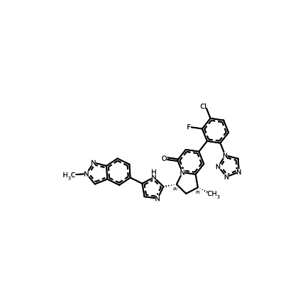 C[C@@H]1C[C@H](c2ncc(-c3ccc4nn(C)cc4c3)[nH]2)n2c1cc(-c1c(-n3cnnn3)ccc(Cl)c1F)cc2=O